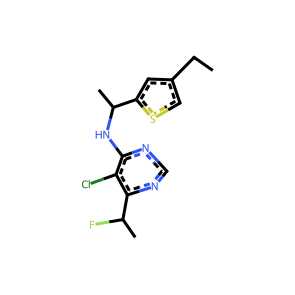 CCc1csc(C(C)Nc2ncnc(C(C)F)c2Cl)c1